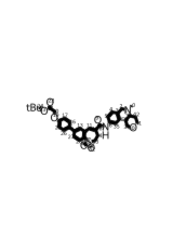 CN(Cc1ccc(NC(=O)C2=Cc3cc(-c4ccc(OCC(=O)OC(C)(C)C)cc4)ccc3S(=O)(=O)CC2)cc1)C1CCOCC1